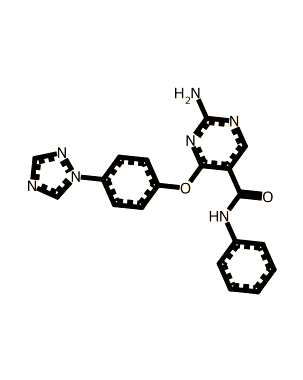 Nc1ncc(C(=O)Nc2ccccc2)c(Oc2ccc(-n3cncn3)cc2)n1